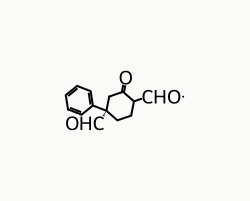 O=[C]C1CC[C@@](C=O)(c2ccccc2)CC1=O